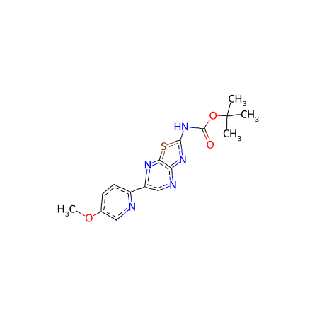 COc1ccc(-c2cnc3nc(NC(=O)OC(C)(C)C)sc3n2)nc1